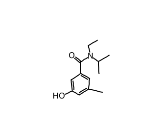 CCN(C(=O)c1cc(C)cc(O)c1)C(C)C